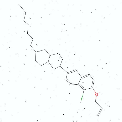 C=CCOc1ccc2cc(C3CCC4CC(CCCCCCC)CCC4C3)ccc2c1F